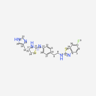 Fc1ccc2nc(NCCc3ccc(/N=C4/N[C@@H](Cc5c[nH]cn5)CS4)cc3)sc2c1